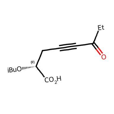 CCC(=O)C#CC[C@@H](OCC(C)C)C(=O)O